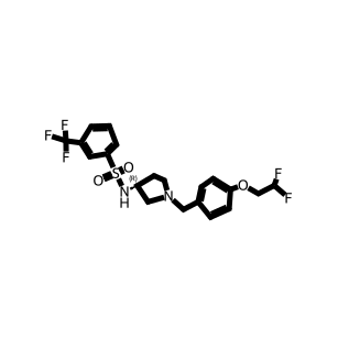 O=S(=O)(N[C@@H]1CCN(Cc2ccc(OCC(F)F)cc2)C1)c1cccc(C(F)(F)F)c1